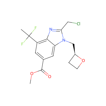 COC(=O)c1cc(C(C)(F)F)c2nc(CCl)n(C[C@@H]3CCO3)c2c1